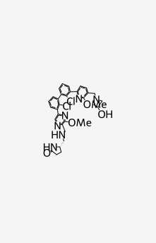 COc1nc(-c2cccc(-c3cccc(-c4cnc(CNC[C@@H]5CCC(=O)N5)c(OC)n4)c3Cl)c2Cl)ccc1CN1CC(O)C1